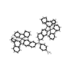 Cc1ccc(N(c2ccc3cc4c(cc3c2)C2(c3ccccc3-c3ccccc32)c2c-4c3ccccc3c3ccccc23)c2ccc3cc4c(cc3c2)C2(c3ccccc3-c3ccccc32)c2c-4c3ccccc3c3ccccc23)cc1